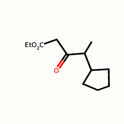 CCOC(=O)CC(=O)C(C)C1CCCC1